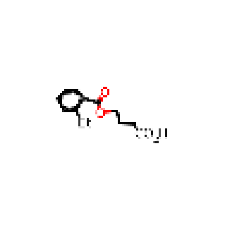 CCc1ccccc1C(=O)OCCCC(=O)O